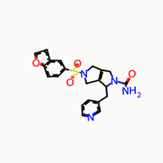 NC(=O)N1CC2=C(CN(S(=O)(=O)c3ccc4occc4c3)C2)C1Cc1cccnc1